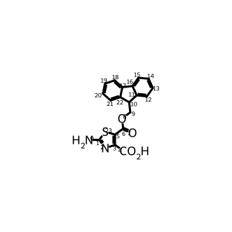 Nc1nc(C(=O)O)c(C(=O)OCC2c3ccccc3-c3ccccc32)s1